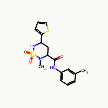 Cc1cccc(NC(=O)C2CC(c3cccs3)NS(=O)(=O)N2C)c1